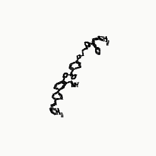 C=CC(=O)OCCCOc1ccc(C(=O)Oc2ccc(-c3ccc(CCC)cc3)cc2C=N)cc1